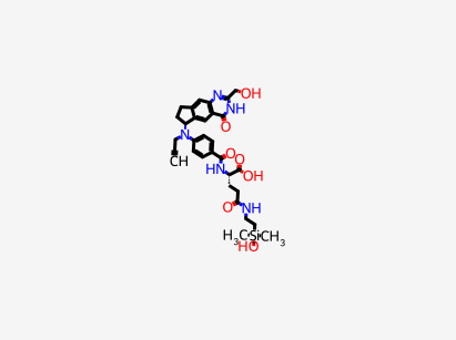 C#CCN(c1ccc(C(=O)N[C@@H](CCC(=O)NCC[Si](C)(C)O)C(=O)O)cc1)[C@H]1CCc2cc3nc(CO)[nH]c(=O)c3cc21